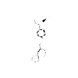 CC#C[C@@H](CC(=O)[O-])c1ccc(OCC2=C[C@@]3(CCC2)CC[C@H](O)C3)cc1.[Na+]